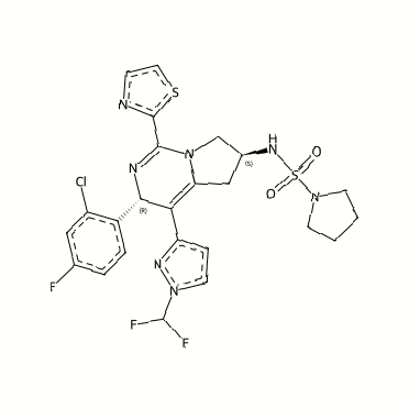 O=S(=O)(N[C@H]1CC2=C(c3ccn(C(F)F)n3)[C@H](c3ccc(F)cc3Cl)N=C(c3nccs3)N2C1)N1CCCC1